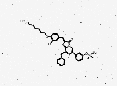 CC(C)(C)[Si](C)(C)Oc1cccc(C2=CN3C(=O)C(=Cc4ccc(OCCCCCCS(=O)(=O)O)c(Cl)c4)N=C3C(Cc3ccccc3)=N2)c1